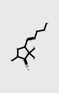 CCC/C=C/C1CC(C)C(=O)C1(C)C